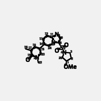 CO[C@@H]1CCN(S(=O)(=O)c2cnc3ccc(-c4cc(C)c(=O)n(C)c4)cn23)C1